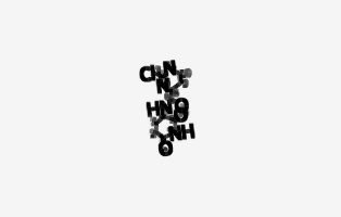 O=C1CCC(NC(=O)c2ccnc(Cl)n2)C(=O)N1